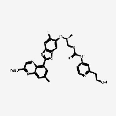 COc1cnc2c(-c3nc4cc(F)c(O[C@@H](C)COC(=O)Nc5ccnc(CCO)c5)cc4s3)cc(C)cc2n1